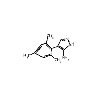 Cc1cc(C)c(-c2cn[nH]c2N)c(C)c1